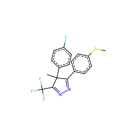 CSc1ccc(C2=NN=C(C(F)(F)F)C2(C)c2ccc(F)cc2)cc1